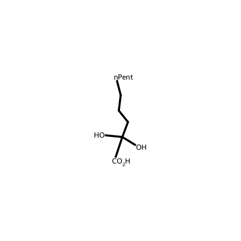 CCCCCCCCC(O)(O)C(=O)O